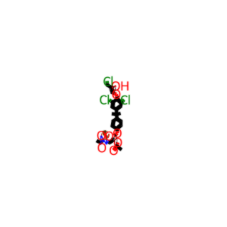 CC(=O)O[C@@H](COc1ccc(C(C)(C)c2cc(Cl)c(OC[C@H](O)CCl)c(Cl)c2)cc1)CN(C(C)=O)S(C)(=O)=O